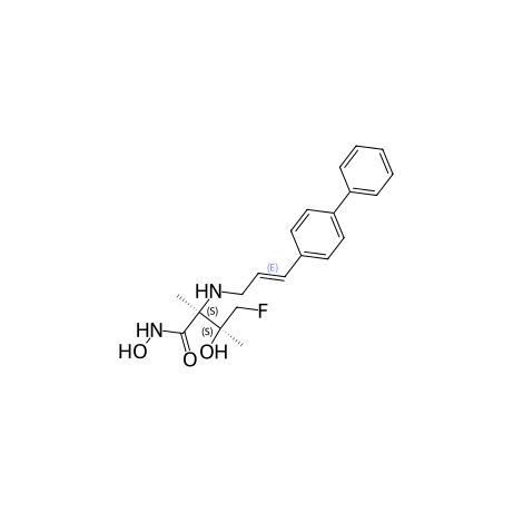 C[C@@](O)(CF)[C@](C)(NC/C=C/c1ccc(-c2ccccc2)cc1)C(=O)NO